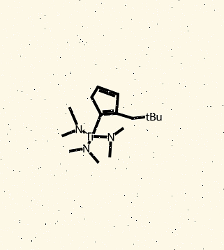 C[N](C)[Ti]([C]1=C(CC(C)(C)C)C=CC1)([N](C)C)[N](C)C